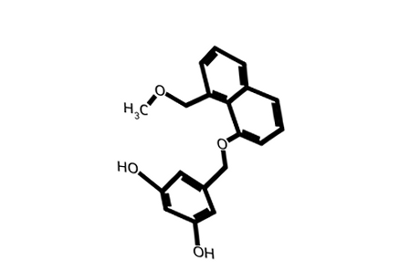 COCc1cccc2cccc(OCc3cc(O)cc(O)c3)c12